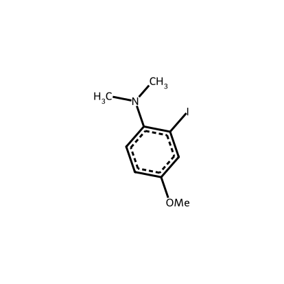 COc1ccc(N(C)C)c(I)c1